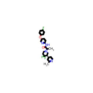 Cc1cc([C@@H]2CN(C(C)C(=O)Nc3ccc(Oc4ccc(F)cc4)cn3)CCC2(F)F)ccn1